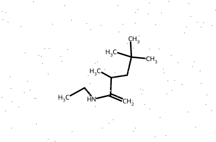 C=C(NCC)C(C)CC(C)(C)C